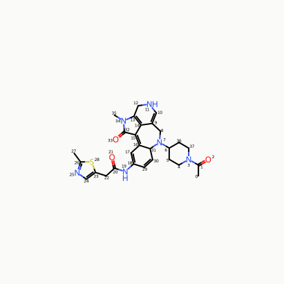 CC(=O)N1CCC(N2CC3=CNCC4=C3C(=C3C=C(NC(=O)Cc5cnc(C)s5)C=CC32)C(=O)N4C)CC1